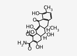 Cc1ccc2c(c1O)C(=O)C1=C(O)[C@]3(O)C(=O)C(C(N)=O)=C(O)C[C@@H]3[C@@H](O)[C@@H]1[C@H]2C